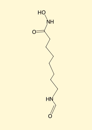 O=CNCCCCCCCC(=O)NO